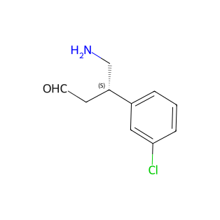 NC[C@@H](CC=O)c1cccc(Cl)c1